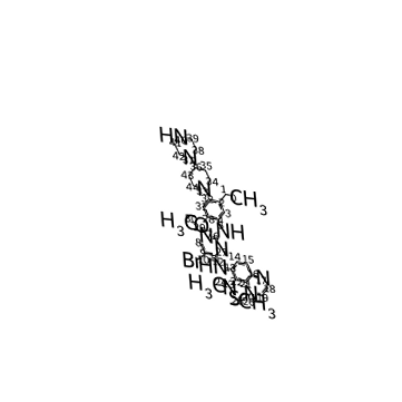 CCc1cc(Nc2ncc(Br)c(Nc3ccc4nccnc4c3N(C)SC)n2)c(OC)cc1N1CCC(N2CCNCC2)CC1